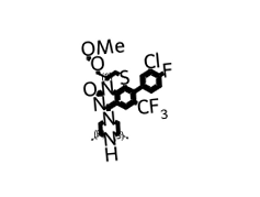 COCOC[C@H]1CSc2c(-c3ccc(F)c(Cl)c3)c(C(F)(F)F)cc3c(N4C[C@@H](C)N[C@@H](C)C4)nc(=O)n1c23